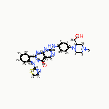 CN1CCN(c2ccc(Nc3ncc4c(=O)n5c(nc4n3)c3ccccc3n5-c3nccs3)cc2)[C@@H](CO)C1